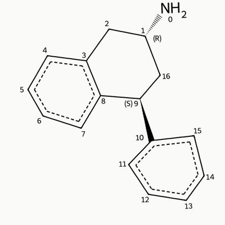 N[C@H]1Cc2ccccc2[C@H](c2ccccc2)C1